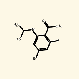 CC(=O)c1c(F)cc(Br)cc1NC(C)C